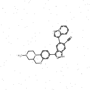 CN1CCN2c3ccc(-c4n[nH]c5cc(C#N)c(-c6cnn7ccccc67)cc45)cc3OCC2C1